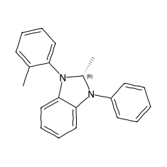 Cc1ccccc1N1c2ccccc2N(c2ccccc2)[C@H]1C